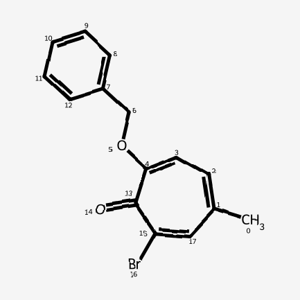 Cc1ccc(OCc2ccccc2)c(=O)c(Br)c1